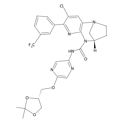 CC1(C)OC[C@@H](COc2cnc(NC(=O)N3c4nc(-c5cccc(C(F)(F)F)c5)c(Cl)cc4N4CC[C@H]3C4)cn2)O1